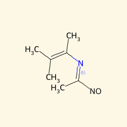 CC(C)=C(C)/N=C(\C)N=O